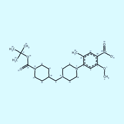 COc1cc(N2CCN(CC3CCN(C(=O)OC(C)(C)C)CC3)CC2)c(C)cc1[N+](=O)[O-]